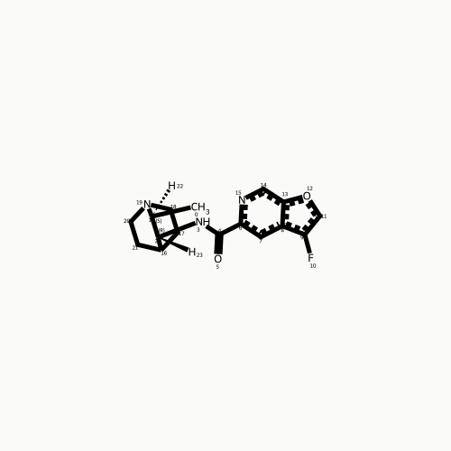 C[C@H]1[C@H](NC(=O)c2cc3c(F)coc3cn2)C2CCN1CC2